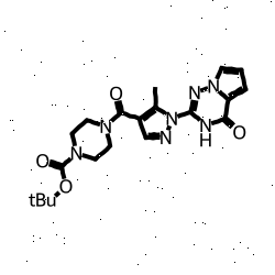 Cc1c(C(=O)N2CCN(C(=O)OC(C)(C)C)CC2)cnn1-c1nn2cccc2c(=O)[nH]1